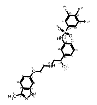 Cc1n[nH]c2cc(OCCNC[C@H](O)c3cccc(NS(=O)(=O)c4cc(F)c(F)c(F)c4)c3)ccc12